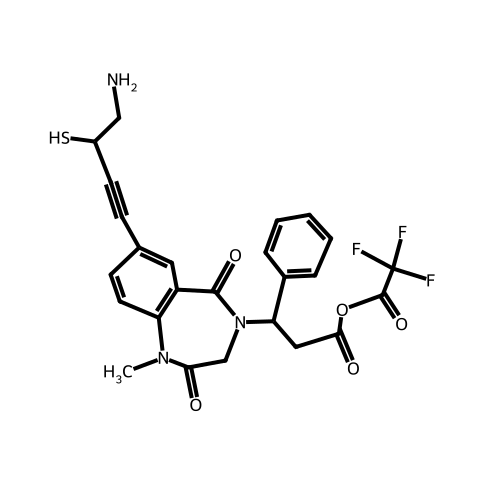 CN1C(=O)CN(C(CC(=O)OC(=O)C(F)(F)F)c2ccccc2)C(=O)c2cc(C#CC(S)CN)ccc21